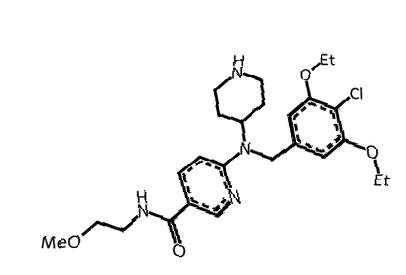 CCOc1cc(CN(c2ccc(C(=O)NCCOC)cn2)C2CCNCC2)cc(OCC)c1Cl